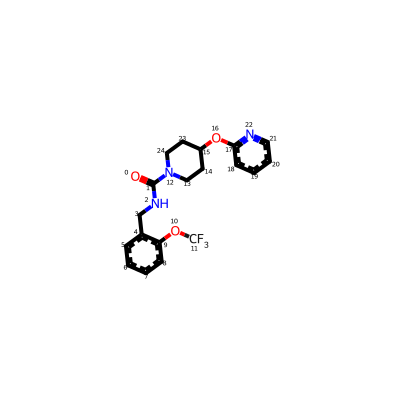 O=C(NCc1ccccc1OC(F)(F)F)N1CCC(Oc2ccccn2)CC1